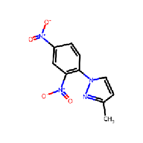 Cc1ccn(-c2ccc([N+](=O)[O-])cc2[N+](=O)[O-])n1